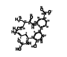 C=CC[C@H](NC(=O)O)c1cc(-c2ccc([N+](=O)[O-])cc2NC(=O)C(C)C=C)nnc1Cl